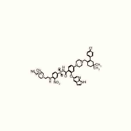 CC1(C)CCC(CN2CCN(c3ccc(C(=O)NS(=O)(=O)c4ccc(NCCN5CC[SH](O)(=NC#N)CC5)c([N+](=O)[O-])c4)c(Oc4cnc5[nH]ccc5c4)c3)CC2)=C(c2ccc(Cl)cc2)C1